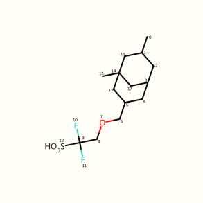 CC1CC2CC(COCC(F)(F)S(=O)(=O)O)CC(C)(C1)C2